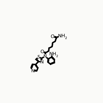 NC(=O)CCCCCC(=O)N(c1nc(-c2ccncc2)cs1)c1ccccc1N